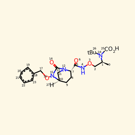 C[C@@H](CONC(=O)[C@@H]1CC[C@@H]2CN1C(=O)N2OCc1ccccc1)N(C(=O)O)C(C)(C)C